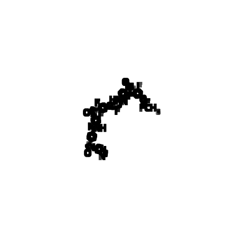 CC(F)(F)COc1cc(F)c([C@H]2CC(=O)N2c2ccc3[nH]c(CC(F)(F)COc4cc(F)c([C@@H]5CC(=O)N5c5ccc6[nH]c(-c7ccc([C@H]8CC(=O)N8c8ccn9ccnc9c8)cc7)nc6c5)c(F)c4)nc3c2)c(F)c1